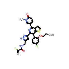 C=C(F)C(=O)NCc1cc(-c2nc(-c3ccc(=O)n(C)c3)c3ccsc3c2-c2ccc(F)cc2OCCOC)n[nH]1